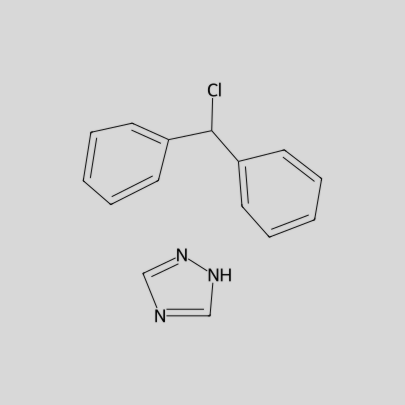 ClC(c1ccccc1)c1ccccc1.c1nc[nH]n1